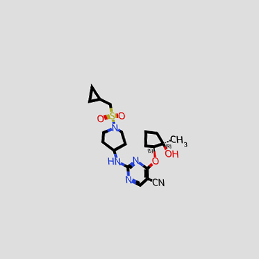 C[C@@]1(O)CCC[C@@H]1Oc1nc(NC2CCN(S(=O)(=O)CC3CC3)CC2)ncc1C#N